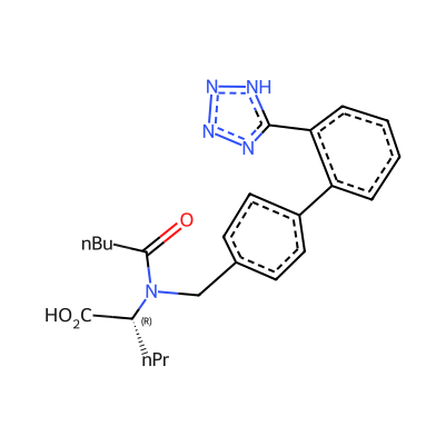 CCCCC(=O)N(Cc1ccc(-c2ccccc2-c2nnn[nH]2)cc1)[C@H](CCC)C(=O)O